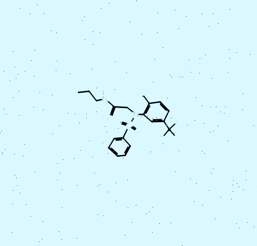 CCCNC(=O)CN(c1cc(C(F)(F)F)ccc1Cl)S(=O)(=O)c1ccccc1